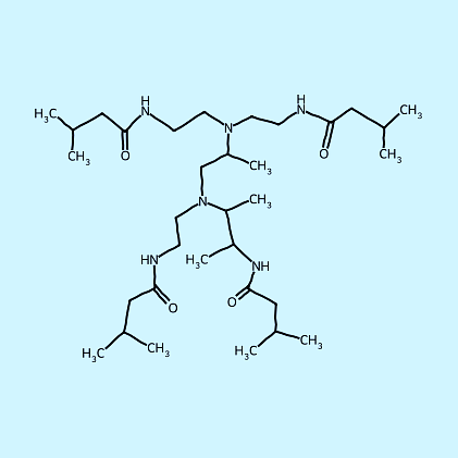 CC(C)CC(=O)NCCN(CCNC(=O)CC(C)C)C(C)CN(CCNC(=O)CC(C)C)C(C)C(C)NC(=O)CC(C)C